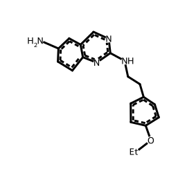 CCOc1ccc(CCNc2ncc3cc(N)ccc3n2)cc1